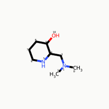 CN(C)CC1NCCCC1O